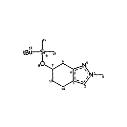 Cn1cc2c(n1)CC(O[Si](C)(C)C(C)(C)C)CC2